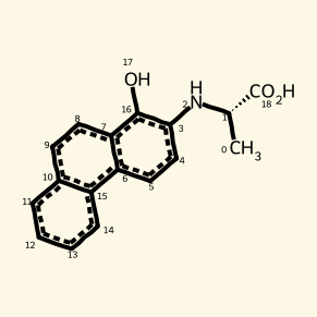 C[C@H](Nc1ccc2c(ccc3ccccc32)c1O)C(=O)O